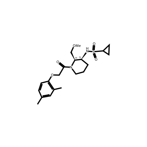 COC[C@H]1[C@@H](NS(=O)(=O)C2CC2)CCCN1C(=O)COc1ccc(C)cc1C